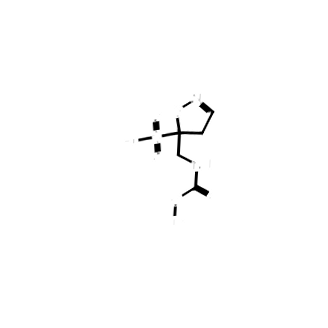 CCS(=O)(=O)C1(CNC(=O)OC(C)(C)C)CC=NO1